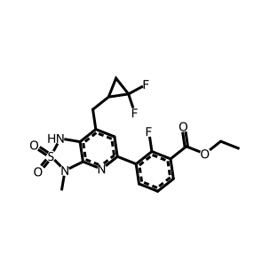 CCOC(=O)c1cccc(-c2cc(CC3CC3(F)F)c3c(n2)N(C)S(=O)(=O)N3)c1F